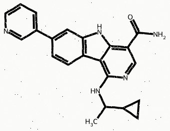 CC(Nc1ncc(C(N)=O)c2[nH]c3cc(-c4cccnc4)ccc3c12)C1CC1